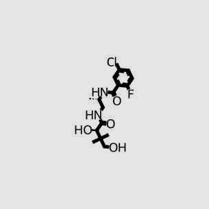 C[C@@H](CNC(=O)[C@H](O)C(C)(C)CO)NC(=O)c1cc(Cl)ccc1F